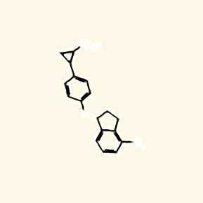 O=C(O)C1CC1c1ccc(O[C@@H]2CCc3c2cccc3C(F)(F)F)cc1